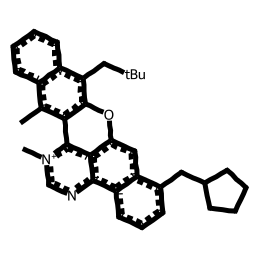 Cc1c2c(c(CC(C)(C)C)c3ccccc13)Oc1cc3c(CC4CCCC4)cccc3c3nc[n+](C)c-2c13